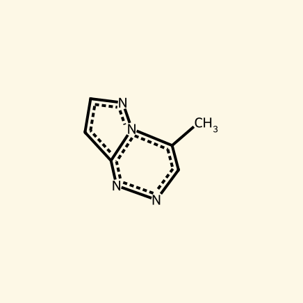 Cc1cnnc2ccnn12